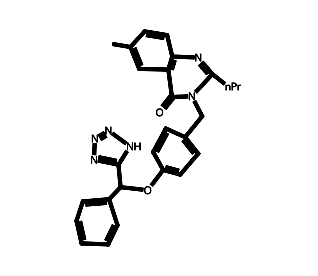 CCCc1nc2ccc(C)cc2c(=O)n1Cc1ccc(OC(c2ccccc2)c2nnn[nH]2)cc1